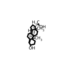 CC(O)[C@H]1CC[C@H]2[C@@H]3CCC4=CC(O)CC[C@@]4(C)[C@@H]3CCC12C